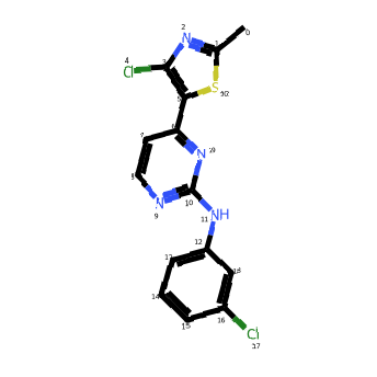 Cc1nc(Cl)c(-c2ccnc(Nc3cccc(Cl)c3)n2)s1